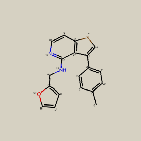 Cc1ccc(-c2csc3ccnc(NCc4ccco4)c23)cc1